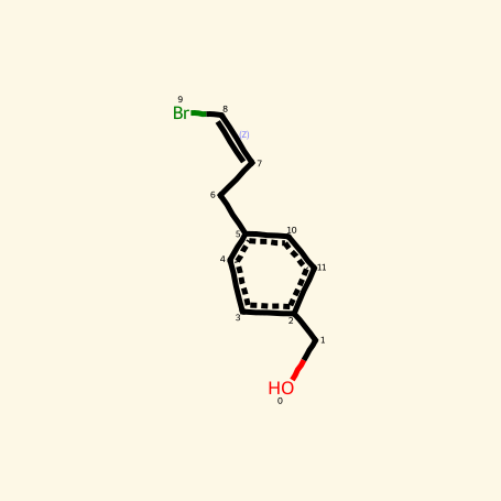 OCc1ccc(C/C=C\Br)cc1